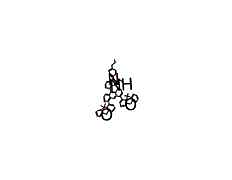 CCCc1ccc(N2c3cccc(-c4c5cccc(-c6cccc7c6C(C)(C)c6ccccc6O7)c5cc5c(-c6cccc7c6C(C)(C)c6ccccc6O7)cccc45)c3NC2CC)cc1